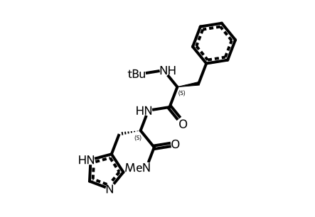 CNC(=O)[C@H](Cc1cnc[nH]1)NC(=O)[C@H](Cc1ccccc1)NC(C)(C)C